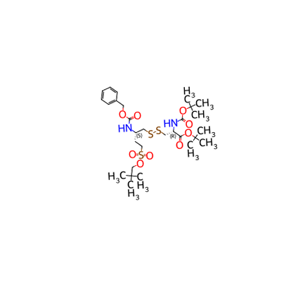 CC(C)(C)COS(=O)(=O)CC[C@@H](CSSC[C@H](NC(=O)OC(C)(C)C)C(=O)OC(C)(C)C)NC(=O)OCc1ccccc1